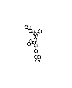 N#Cc1ccc(-c2ccc(-c3ccc4c5ccc(-c6nc(-c7ccccc7)nc(-c7ccc8c(c7)oc7ccccc78)n6)cc5c5oc6ccccc6c5c4c3)cc2)c2ccccc12